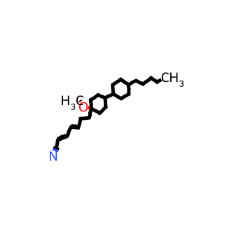 CCCCCC1CCC(C2CCC(CCC=CC=CC#N)(OC)CC2)CC1